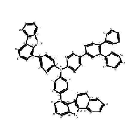 c1ccc(-c2ccc(-c3ccc(N(c4ccc(-c5cccc6c5oc5ccccc56)cc4)c4ccc(-c5cccc6oc7c8ccccc8ccc7c56)cc4)cc3)cc2-c2ccccc2)cc1